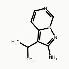 CC(C)c1c(N)nn2cnccc12